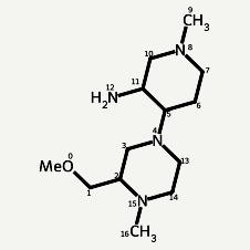 COCC1CN(C2CCN(C)CC2N)CCN1C